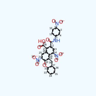 O=C(Nc1ccc([N+](=O)[O-])cc1)c1cc([N+](=O)[O-])c2c3c(c([N+](=O)[O-])cc2c1C(=O)O)Oc1ccccc1C3